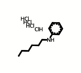 CCCCCCNc1ccccc1.Cl.Cl.Cl.Cl